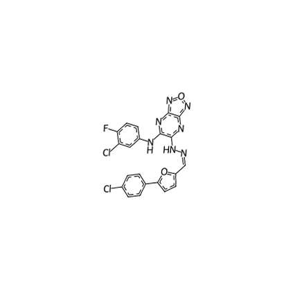 Fc1ccc(Nc2nc3nonc3nc2N/N=C\c2ccc(-c3ccc(Cl)cc3)o2)cc1Cl